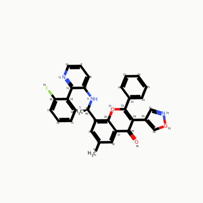 Cc1cc([C@@H](C)Nc2cccnc2-c2ccccc2F)c2oc(-c3ccccc3)c(-c3cnoc3)c(=O)c2c1